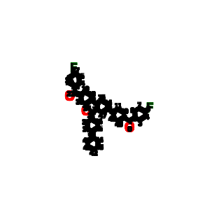 O=C(c1ccc(F)cc1)c1ccc(-c2ccc(-c3ccc(C(=O)c4ccc(F)cc4)cc3)c(C(=O)c3ccc(-c4ccccc4)cc3)c2)cc1